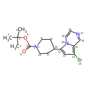 CC(C)(C)OC(=O)N1CCC(c2cc(Br)c3cnccn23)CC1